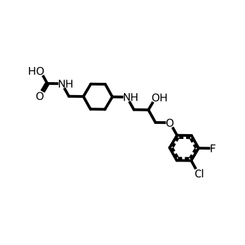 O=C(O)NCC1CCC(NCC(O)COc2ccc(Cl)c(F)c2)CC1